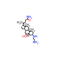 C[C@H](CCC(N)=O)[C@H]1CCC2C3C[C@@H](O)[C@@H]4CC(NCCN)CC[C@]4(C)C3CC[C@@]21C